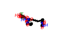 CC(C)(C)[C@H](NC(=O)c1cc2cc(C(F)(F)P(=O)(O)O)ccc2s1)C(=O)N1C[C@@H](OCCCCCCCC#Cc2cccc3c2CN(C2CCC(=O)NC2=O)C3=O)C[C@H]1C(=O)N1CCO[C@H](c2ccccc2)C1